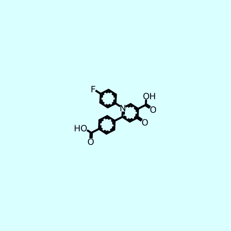 O=C(O)c1ccc(-c2cc(=O)c(C(=O)O)cn2-c2ccc(F)cc2)cc1